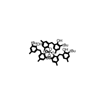 CCCCc1cc(C)cc(Cc2cc(C)cc(C(C)(C)C)c2O)c1OP(=O)(Oc1c(CCCC)cc(C)cc1Cc1cc(C)cc(C(C)(C)C)c1O)Oc1c(CCCC)cc(C)cc1Cc1cc(C)cc(C(C)(C)C)c1O